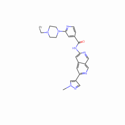 CC(C)CN1CCN(c2cc(C(=O)Nc3cc4cc(-c5cnn(C)c5)ncc4cn3)ccn2)CC1